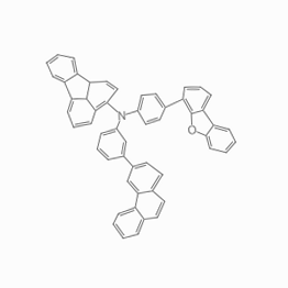 C1=CC2=C(N(c3ccc(-c4cccc5c4oc4ccccc45)cc3)c3cccc(-c4ccc5ccc6ccccc6c5c4)c3)C=CC3c4ccccc4C(=C1)C23